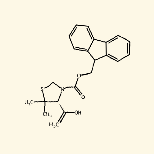 C=C(O)[C@H]1N(C(=O)OCC2c3ccccc3-c3ccccc32)CSC1(C)C